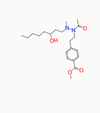 CCCCCC(O)CCN(C)N(CCc1ccc(C(=O)OC)cc1)C(C)=O